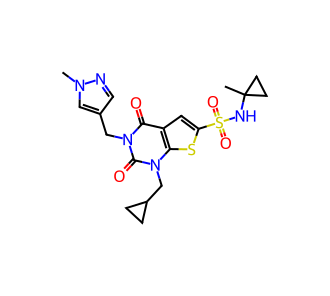 Cn1cc(Cn2c(=O)c3cc(S(=O)(=O)NC4(C)CC4)sc3n(CC3CC3)c2=O)cn1